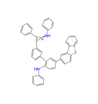 c1ccc(Nc2ccc(-c3ccc4sc5ccccc5c4c3)cc2-c2cccc(C3=C(c4ccccc4)[C@H]3Nc3ccccc3)c2)cc1